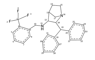 FC(F)(F)c1ccccc1CNC1C2CCN(C2)C1C(c1ccccc1)c1ccccc1